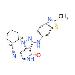 Cc1nc2ccc(Nc3nn([C@H]4CCCC[C@@H]4C#N)c4cc[nH]c(=O)c34)cc2s1